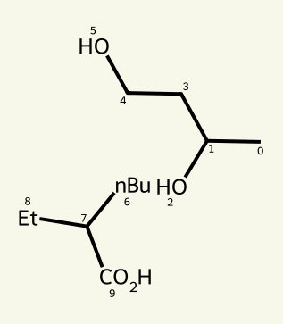 CC(O)CCO.CCCCC(CC)C(=O)O